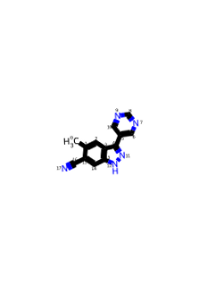 Cc1cc2c(-c3cncnc3)n[nH]c2cc1C#N